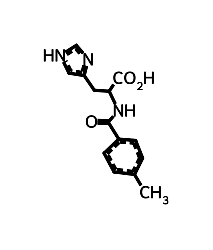 Cc1ccc(C(=O)NC(Cc2c[nH]cn2)C(=O)O)cc1